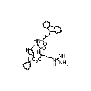 N=C(N)NCCC[C@H](NC(=O)[C@H](Cc1cn(Cc2ccccc2)cn1)NC(=O)OCC1c2ccccc2-c2ccccc21)C(=O)O